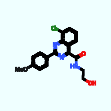 COc1ccc(-c2nc(C(=O)NCCO)c3cccc(Cl)c3n2)cc1